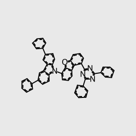 c1ccc(-c2ccc3c(c2)c2cc(-c4ccccc4)ccc2n3-c2cccc3c2oc2cccc(-c4nc(-c5ccccc5)nc(-c5ccccc5)n4)c23)cc1